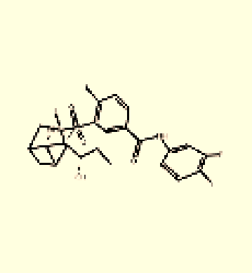 CC[C@H](O)[C@@H](O)[C@]1(O)C2CC1C[C@@H](S(=O)(=O)c1cc(C(=O)Nc3ccc(F)c(F)c3)ccc1Cl)C2